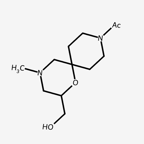 CC(=O)N1CCC2(CC1)CN(C)CC(CO)O2